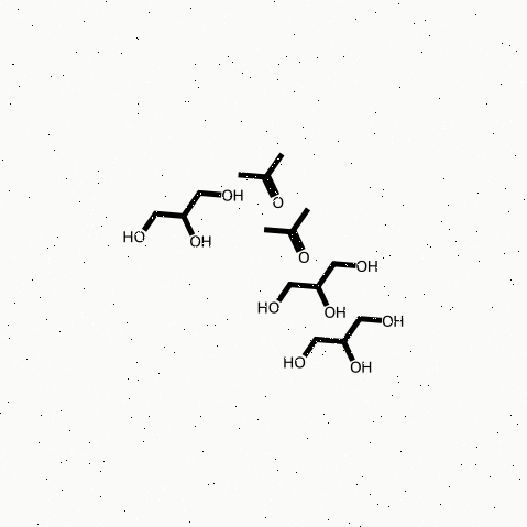 CC(C)=O.CC(C)=O.OCC(O)CO.OCC(O)CO.OCC(O)CO